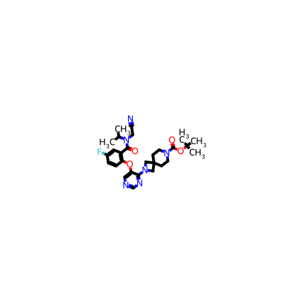 CC(C)N(CC#N)C(=O)c1cc(F)ccc1Oc1cncnc1N1CC2(CCN(C(=O)OC(C)(C)C)CC2)C1